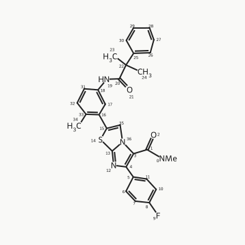 CNC(=O)c1c(-c2ccc(F)cc2)nc2sc(-c3cc(NC(=O)C(C)(C)c4ccccc4)ccc3C)cn12